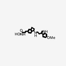 COc1ccc2c(CCN[C@@H]3CCc4cc(/C=C/C(=O)NO)ccc43)c[nH]c2c1